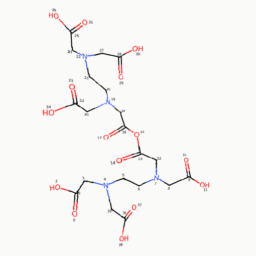 O=C(O)CN(CCN(CC(=O)O)CC(=O)OC(=O)CN(CCN(CC(=O)O)CC(=O)O)CC(=O)O)CC(=O)O